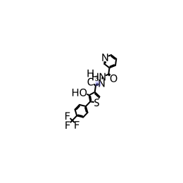 C/C(=N\NC(=O)c1cccnc1)c1csc(-c2ccc(C(F)(F)F)cc2)c1O